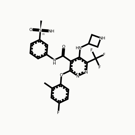 Cc1cc(F)ccc1Oc1nnc(C(F)(F)F)c(NC2CNC2)c1C(=O)Nc1cccc([S@@](C)(=N)=O)c1